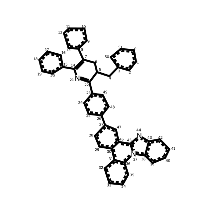 c1ccc(CC2CC(c3ccccc3)=C(c3ccccc3)N=C2c2ccc(-c3ccc4c5ccccc5n5c6ccccc6nc5c4c3)cc2)cc1